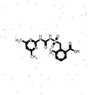 Cc1cc(C)nc(NC(=O)NS(=O)(=O)Cc2c(C)cccc2C(=O)O)n1